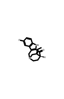 C/C=C1/CN2CC[C@H]1C(=O)c1[nH]c3ccc(F)cc3c1C2